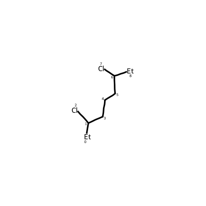 CCC(Cl)CCCC(Cl)CC